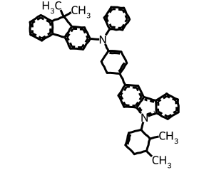 CC1CC=CC(n2c3ccccc3c3cc(C4=CC=C(N(c5ccccc5)c5ccc6c(c5)C(C)(C)c5ccccc5-6)CC4)ccc32)C1C